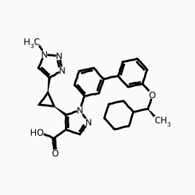 C[C@H](Oc1cccc(-c2cccc(-n3ncc(C(=O)O)c3[C@H]3C[C@H]3c3cn(C)nn3)c2)c1)C1CCCCC1